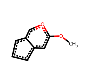 COc1cc2[c]ccc-2co1